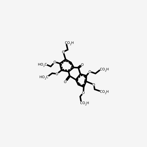 O=C(O)COc1cc2c(c(OCC(=O)O)c1OCC(=O)O)C(=O)c1cc(OCC(=O)O)c(OCC(=O)O)c(OCC(=O)O)c1C2=O